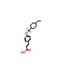 CCC1CCC(C(F)(F)Oc2ccc(/C=C/C(=O)O)cc2)CC1